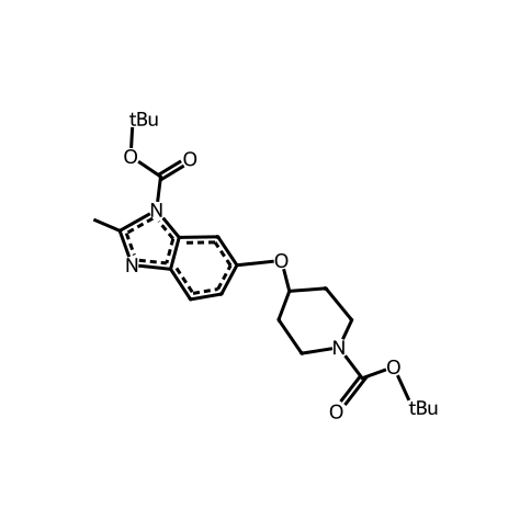 Cc1nc2ccc(OC3CCN(C(=O)OC(C)(C)C)CC3)cc2n1C(=O)OC(C)(C)C